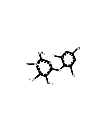 Nc1nc(Oc2c(Cl)cc(Cl)cc2Cl)c([N+](=O)[O-])c(N)[n+]1[O-]